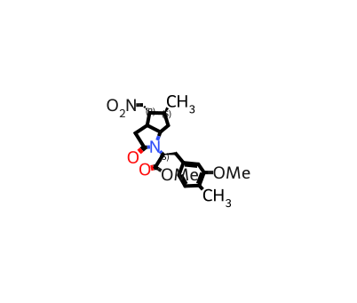 COC(=O)[C@H](Cc1ccc(C)c(OC)c1)N1C(=O)CC2C1C[C@H](C)[C@H]2C[N+](=O)[O-]